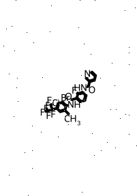 CCc1cc(C(F)(C(F)(F)F)C(F)(F)Cl)cc(Br)c1NC(=O)c1cccc(NC(=O)c2cccnc2)c1F